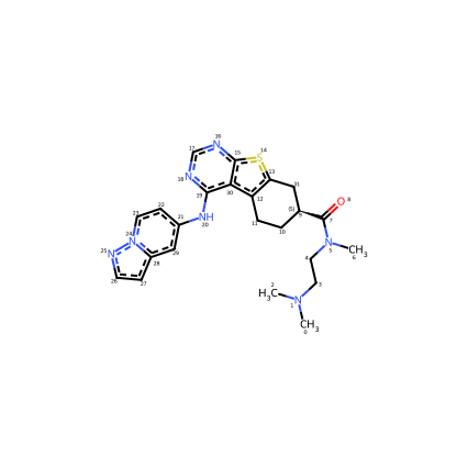 CN(C)CCN(C)C(=O)[C@H]1CCc2c(sc3ncnc(Nc4ccn5nccc5c4)c23)C1